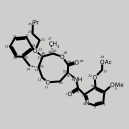 COc1ccnc(C(=O)N[C@H]2COC[C@H](Cc3ccccc3)[C@@H](OCCC(C)C)[C@H](C)OC2=O)c1OCOC(C)=O